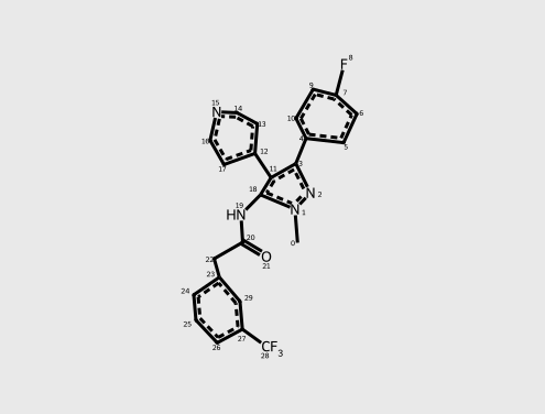 Cn1nc(-c2ccc(F)cc2)c(-c2ccncc2)c1NC(=O)Cc1cccc(C(F)(F)F)c1